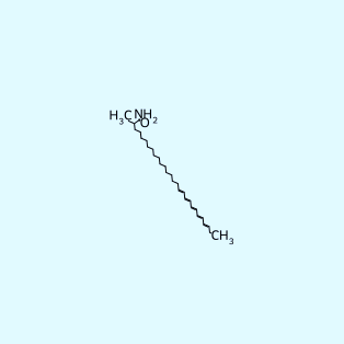 CCC=CC=CC=CC=CC=CCCCCCCCCCCCCCCC(CC)C(N)=O